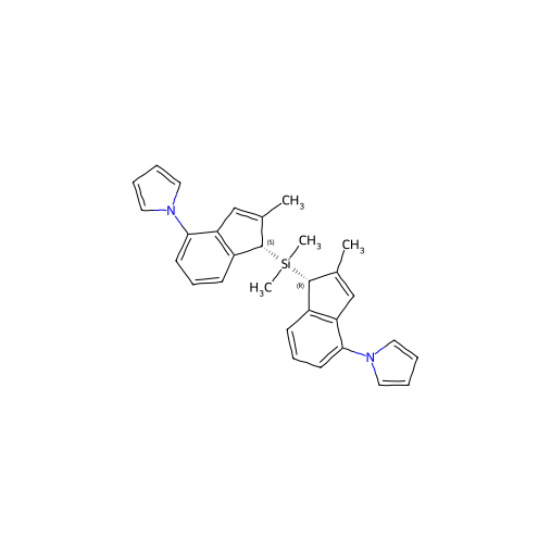 CC1=Cc2c(cccc2-n2cccc2)[C@@H]1[Si](C)(C)[C@H]1C(C)=Cc2c1cccc2-n1cccc1